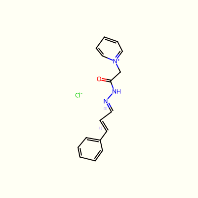 O=C(C[n+]1ccccc1)N/N=C/C=C/c1ccccc1.[Cl-]